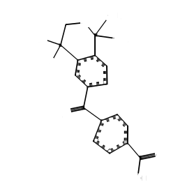 C=C(c1ccc(C(=O)O)cc1)c1ccc2c(c1)C(C)(C)COC2(C)C